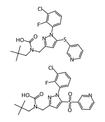 CC(C)(C)CN(Cc1cc(S(=O)(=O)c2cccnc2)n(-c2cccc(Cl)c2F)n1)C(=O)O.CC(C)(C)CN(Cc1cc(Sc2cccnc2)n(-c2cccc(Cl)c2F)n1)C(=O)O